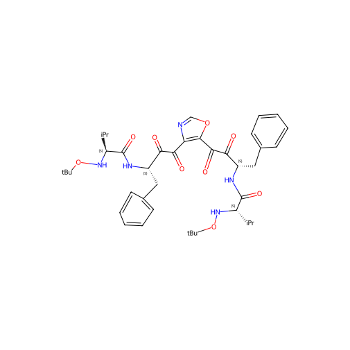 CC(C)[C@H](NOC(C)(C)C)C(=O)N[C@@H](Cc1ccccc1)C(=O)C(=O)c1ncoc1C(=O)C(=O)[C@H](Cc1ccccc1)NC(=O)[C@@H](NOC(C)(C)C)C(C)C